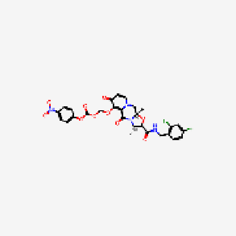 C[C@H]1C(C(=O)NCc2ccc(F)cc2F)O[C@@H]2Cn3ccc(=O)c(OCOC(=O)Oc4ccc([N+](=O)[O-])cc4)c3C(=O)N21